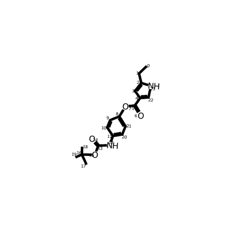 CCc1cc(C(=O)Oc2ccc(NC(=O)OC(C)(C)C)cc2)c[nH]1